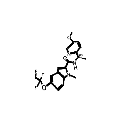 COc1ccc([C@@H](C)NC(=O)c2cc3cc(OC(F)(F)CF)ccc3n2C)nc1